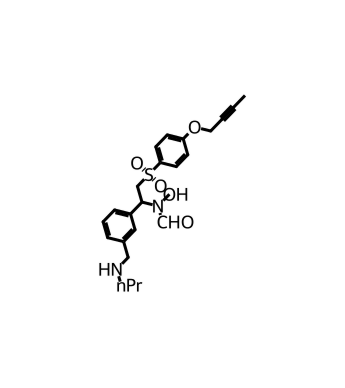 CC#CCOc1ccc(S(=O)(=O)CC(c2cccc(CNCCC)c2)N(O)C=O)cc1